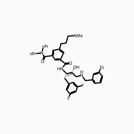 CCCN(CCC)C(=O)c1cc(CCCNC)cc(C(=O)N[C@@H](Cc2cc(F)cc(F)c2)[C@H](O)CNCc2cccc(CC)c2)c1